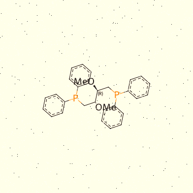 COC(CP(c1ccccc1)c1ccccc1)[C@H](CP(c1ccccc1)c1ccccc1)OC